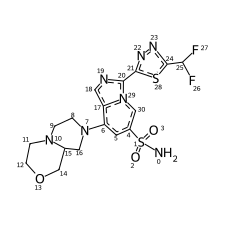 NS(=O)(=O)c1cc(N2CCN3CCOCC3C2)c2cnc(-c3nnc(C(F)F)s3)n2c1